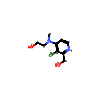 CN(CCO)c1ccnc(CO)c1Cl